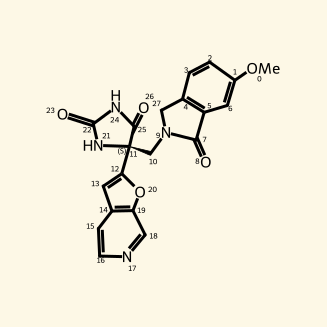 COc1ccc2c(c1)C(=O)N(C[C@@]1(c3cc4ccncc4o3)NC(=O)NC1=O)C2